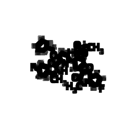 CCS(=O)(=O)Nc1cc2oc(-c3ccc(F)cc3)c(C(=O)NC)c2cc1-c1ccc(OCc2ccccc2)c(C(=O)N[C@H](C)c2ccc(F)cc2)n1